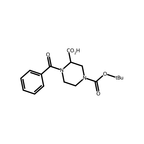 CC(C)(C)OC(=O)N1CCN(C(=O)c2ccccc2)C(C(=O)O)C1